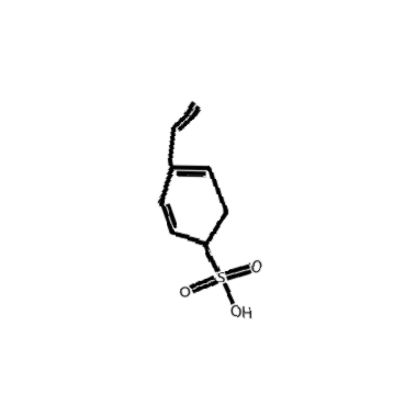 C=CC1=CCC(S(=O)(=O)O)C=C1